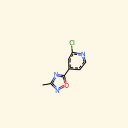 Cc1noc(-c2ccnc(Cl)c2)n1